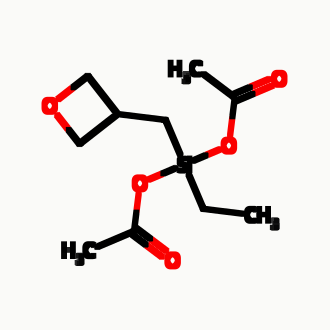 CC[Si](CC1COC1)(OC(C)=O)OC(C)=O